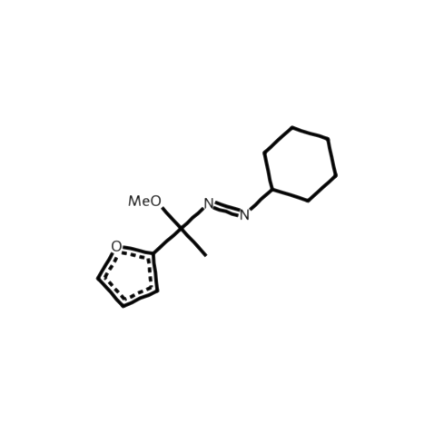 COC(C)(N=NC1CCCCC1)c1ccco1